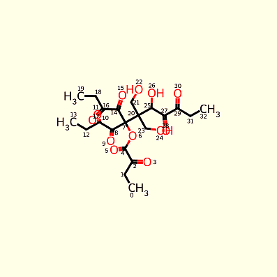 CCC(=O)C(=O)OC(C(=O)C(=O)CC)(C(=O)C(=O)CC)C(CO)(CO)C(O)C(=O)C(=O)CC